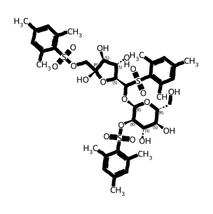 Cc1cc(C)c(S(=O)(=O)OC[C@@]2(O)O[C@H](C(O[C@H]3O[C@H](CO)[C@@H](O)[C@H](O)[C@H]3OS(=O)(=O)c3c(C)cc(C)cc3C)S(=O)(=O)c3c(C)cc(C)cc3C)[C@@H](O)[C@@H]2O)c(C)c1